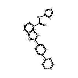 O=C(Nc1nccs1)c1cccc2[nH]c(-c3ccc(-c4ccccc4)cc3)nc12